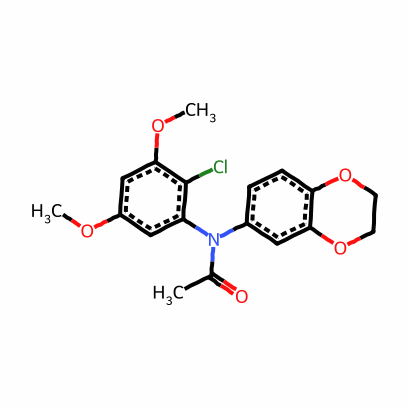 COc1cc(OC)c(Cl)c(N(C(C)=O)c2ccc3c(c2)OCCO3)c1